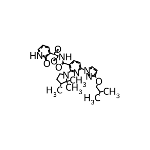 CC(C)COc1ccn(-c2ccc(C(=O)NS(=O)(=O)c3ccc[nH]c3=O)c(N3CCC(C)C3(C)C)n2)n1